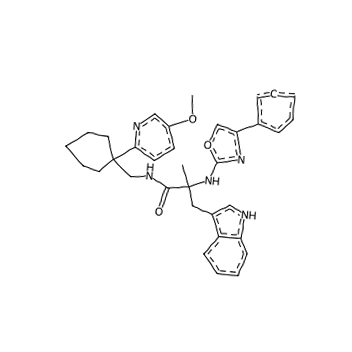 COc1ccc(C2(CNC(=O)C(C)(Cc3c[nH]c4ccccc34)Nc3nc(-c4ccccc4)co3)CCCCC2)nc1